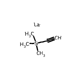 C#C[Si](C)(C)C.[La]